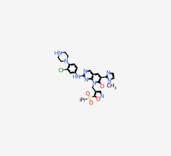 CC(C)S(=O)(=O)c1oncc1Cn1c(=O)c(-c2nccn2C)cc2cnc(Nc3ccc(N4CCNCC4)c(Cl)c3)nc21